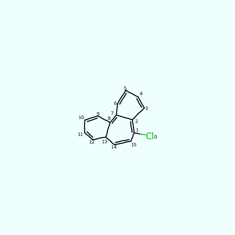 ClC1=c2ccccc2=C2C=CC=CC2C=C1